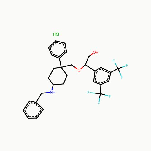 Cl.OCC(OCC1(c2ccccc2)CCC(NCc2ccccc2)CC1)c1cc(C(F)(F)F)cc(C(F)(F)F)c1